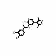 Cc1noc(C)c1-c1cnc(N)c(NC(C)c2ccc(Cl)c(Cl)c2)c1